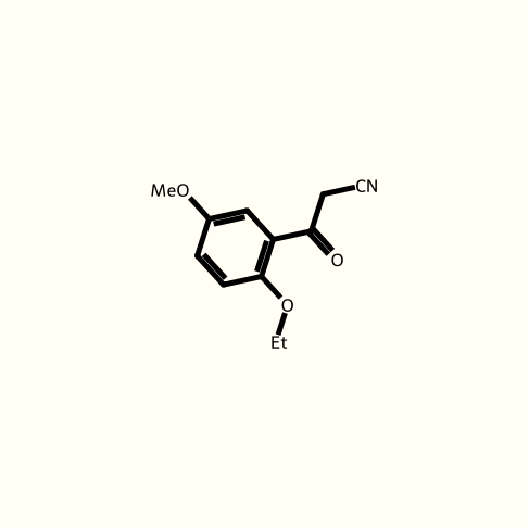 CCOc1ccc(OC)cc1C(=O)CC#N